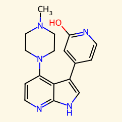 CN1CCN(c2ccnc3[nH]cc(-c4ccnc(O)c4)c23)CC1